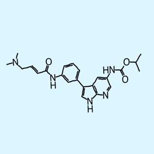 CC(C)OC(=O)Nc1cnc2[nH]cc(-c3cccc(NC(=O)/C=C/CN(C)C)c3)c2c1